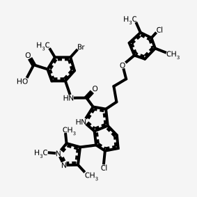 Cc1cc(OCCCc2c(C(=O)Nc3cc(Br)c(C)c(C(=O)O)c3)[nH]c3c(-c4c(C)nn(C)c4C)c(Cl)ccc23)cc(C)c1Cl